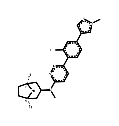 CN(c1ccc(-c2ccc(-c3cnn(C)c3)cc2O)nn1)C1C[C@H]2CC[C@@H](C1)N2